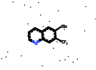 CC(C)(C)c1cc2cccnc2cc1C(F)(F)F